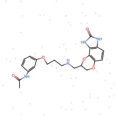 CC(=O)Nc1cccc(OCCCNCC2COc3ccc4[nH]c(=O)[nH]c4c3O2)c1